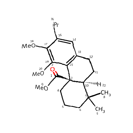 COC(=O)[C@]12CCCC(C)(C)[C@@H]1CCc1cc(C(C)C)c(OC)c(OC)c12